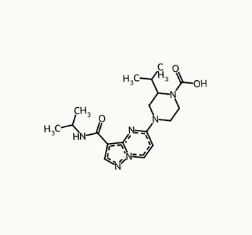 CC(C)NC(=O)c1cnn2ccc(N3CCN(C(=O)O)C(C(C)C)C3)nc12